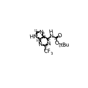 CC(C)(C)OC(=O)Nc1nc(C(F)(F)F)nc2[nH]cnc12